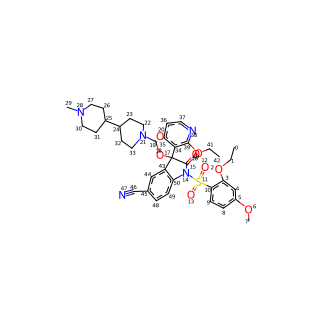 CCOc1cc(OC)ccc1S(=O)(=O)N1C(=O)C(OC(=O)N2CCC(C3CCN(C)CC3)CC2)(c2cccnc2OCC)c2cc(C#N)ccc21